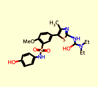 CCN(CC)C(O)Nc1nc(C)c(-c2ccc(OC)c(S(=O)(=O)Nc3ccc(O)cc3)c2)s1